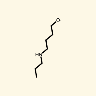 CCCNCCCC[O]